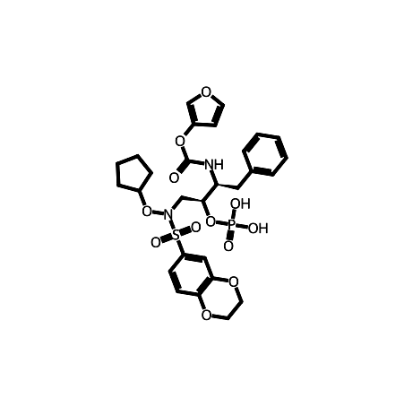 O=C(N[C@@H](Cc1ccccc1)[C@H](CN(OC1CCCC1)S(=O)(=O)c1ccc2c(c1)OCCO2)OP(=O)(O)O)Oc1ccoc1